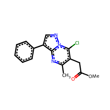 COC(=O)Cc1c(C)nc2c(-c3ccccc3)cnn2c1Cl